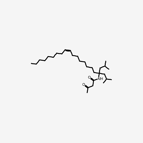 CCCCCCCC/C=C\CCCCCCC[C](CC(C)C)(CC(C)C)[AlH][C](=O)CC(C)=O